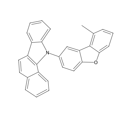 Cc1cccc2oc3ccc(-n4c5ccccc5c5ccc6ccccc6c54)cc3c12